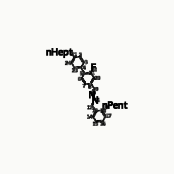 CCCCCCCc1ccc(-c2ccc(C=NN=Cc3ccccc3CCCCC)cc2F)cc1